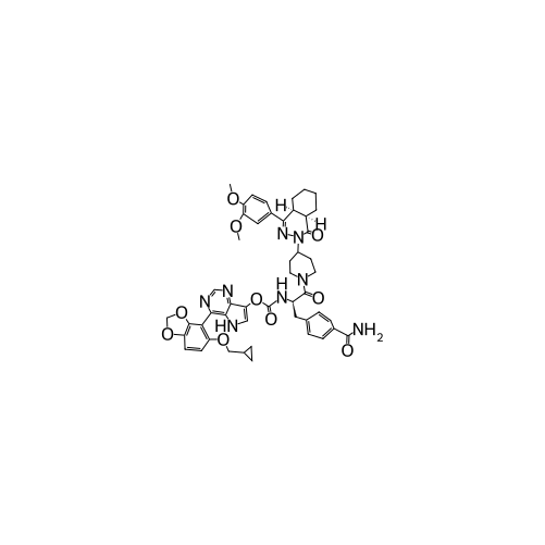 COc1ccc(C2=NN(C3CCN(C(=O)[C@@H](Cc4ccc(C(N)=O)cc4)NC(=O)Oc4c[nH]c5c(-c6c(OCC7CC7)ccc7c6OCO7)ncnc45)CC3)C(=O)[C@@H]3CCCC[C@H]23)cc1OC